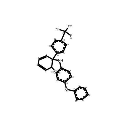 CC1C=CC=CC1(Nc1ccc(Oc2ccccc2)cc1)c1ccc(C(F)(F)F)cc1